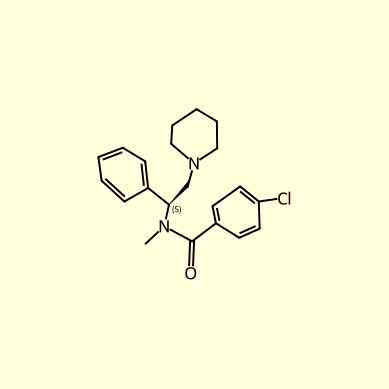 CN(C(=O)c1ccc(Cl)cc1)[C@H](CN1CCCCC1)c1ccccc1